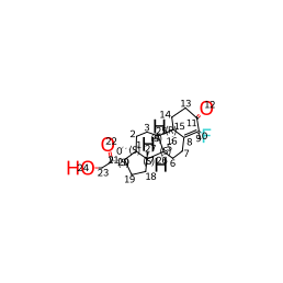 C[C@]12CC[C@H]3[C@@H](CCC4=C(F)C(=O)CC[C@@]43C)[C@@H]1CC[C@@H]2C(=O)CO